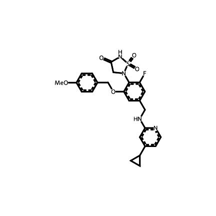 COc1ccc(COc2cc(CNc3cc(C4CC4)ccn3)cc(F)c2N2CC(=O)NS2(=O)=O)cc1